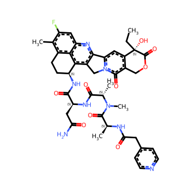 CC[C@@]1(O)C(=O)OCc2c1cc1n(c2=O)Cc2c-1nc1cc(F)c(C)c3c1c2[C@@H](NC(=O)[C@H](CC(N)=O)NC(=O)[C@H](C)N(C)C(=O)[C@H](C)NC(=O)Cc1ccncc1)CC3